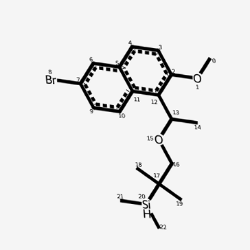 COc1ccc2cc(Br)ccc2c1C(C)OCC(C)(C)[SiH](C)C